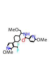 COCC(NC(=O)c1ccc(OC)nc1)C1CCC(c2ccnc(OC)c2C(F)F)CC1